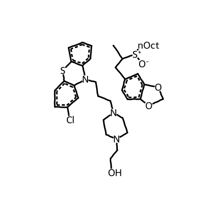 CCCCCCCC[S+]([O-])C(C)Cc1ccc2c(c1)OCO2.OCCN1CCN(CCCN2c3ccccc3Sc3ccc(Cl)cc32)CC1